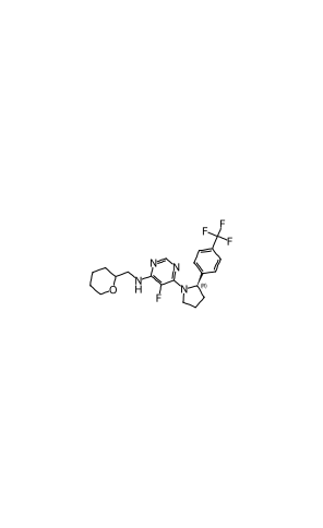 Fc1c(NCC2CCCCO2)ncnc1N1CCC[C@@H]1c1ccc(C(F)(F)F)cc1